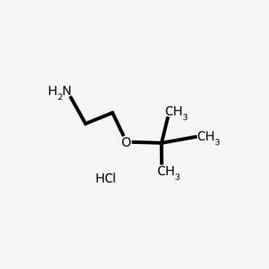 CC(C)(C)OCCN.Cl